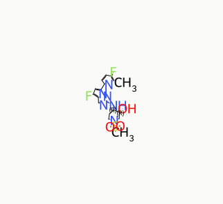 Cc1nc(-c2cc(F)c3cnc(N[C@@H]4CCN(S(C)(=O)=O)C[C@H]4O)nn23)ccc1F